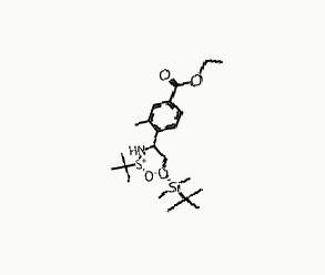 CCOC(=O)c1ccc(C(CO[Si](C)(C)C(C)(C)C)N[S@@+]([O-])C(C)(C)C)c(C)c1